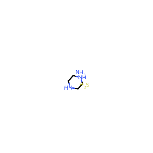 C1CNCCN1.N.S